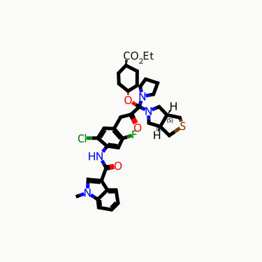 CCOC(=O)[C@H]1CC[C@H](OC(C(=O)Cc2cc(Cl)c(NC(=O)c3cn(C)c4ccccc34)cc2F)(N2CCCC2)N2C[C@H]3CSC[C@H]3C2)CC1